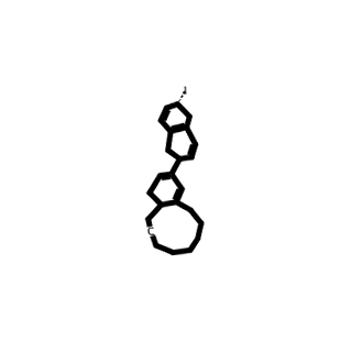 I[C@H]1C=CC2=C(C=CC(C3=CCC4CCCCCCCCC4=C3)C2)C1